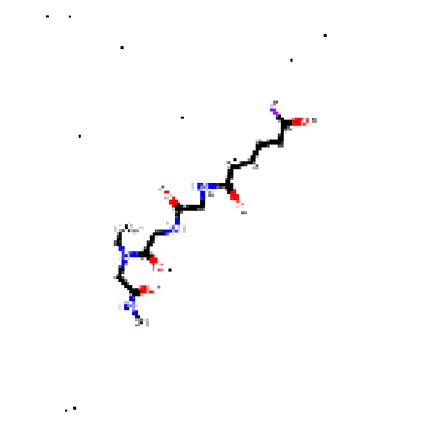 CCNC(=O)CN(CC(=O)O)C(=O)CNC(=O)CNC(=O)CCCCC(=O)I